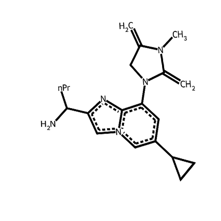 C=C1CN(c2cc(C3CC3)cn3cc(C(N)CCC)nc23)C(=C)N1C